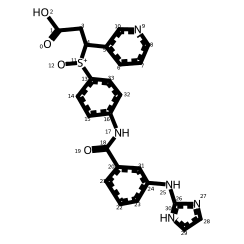 O=C(O)CC(c1cccnc1)[S+]([O-])c1ccc(NC(=O)c2cccc(Nc3ncc[nH]3)c2)cc1